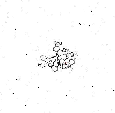 CCCCc1ccc2c(c1)C1(C)C=CC(C)C3=C1C1(C)C(=C4C(C)(C)c5ccccc5C34C)B3c4c(cc5c(c4-c4ccccc4N3c3ccccc3)C(C)(C)c3ccccc3-5)N21